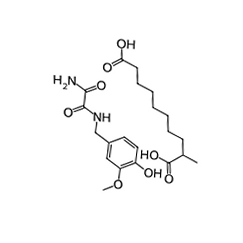 CC(CCCCCCCC(=O)O)C(=O)O.COc1cc(CNC(=O)C(N)=O)ccc1O